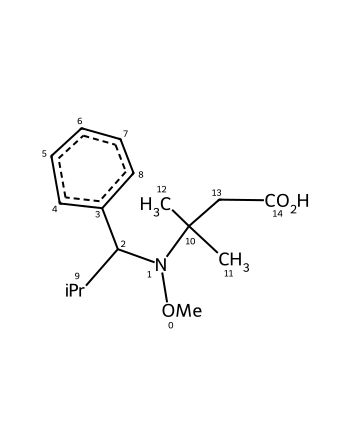 CON(C(c1ccccc1)C(C)C)C(C)(C)CC(=O)O